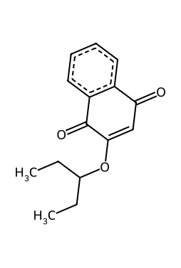 CCC(CC)OC1=CC(=O)c2ccccc2C1=O